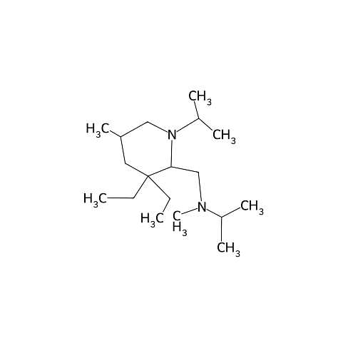 CCC1(CC)CC(C)CN(C(C)C)C1CN(C)C(C)C